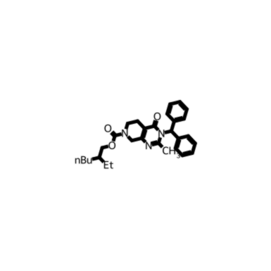 CCCCC(CC)COC(=O)N1CCc2c(nc(C)n(C(c3ccccc3)c3ccccc3)c2=O)C1